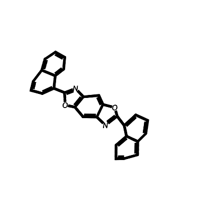 c1ccc2c(-c3nc4cc5oc(-c6cccc7ccccc67)nc5cc4o3)cccc2c1